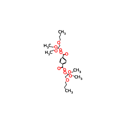 CCCCOCC(OCC)(OCC)OOC(=O)c1ccc(C(=O)OOC(COCCCC)(OCC)OCC)cc1